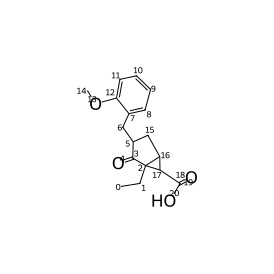 CCC12C(=O)C(Cc3ccccc3OC)CC1C2C(=O)O